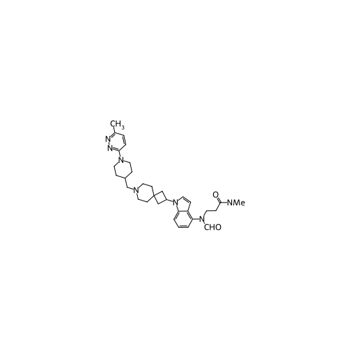 CNC(=O)CCN(C=O)c1cccc2c1ccn2C1CC2(CCN(CC3CCN(c4ccc(C)nn4)CC3)CC2)C1